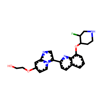 OCCOc1ccn2c(-c3ccc4cccc(OC5CCNCC5F)c4n3)cnc2c1